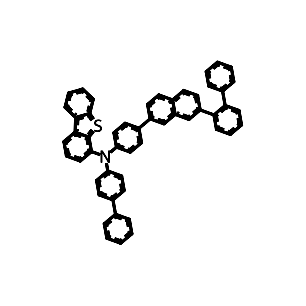 c1ccc(-c2ccc(N(c3ccc(-c4ccc5ccc(-c6ccccc6-c6ccccc6)cc5c4)cc3)c3cccc4c3sc3ccccc34)cc2)cc1